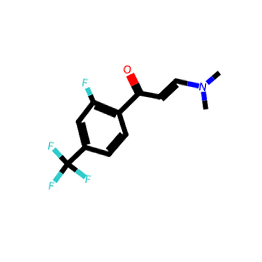 CN(C)C=CC(=O)c1ccc(C(F)(F)F)cc1F